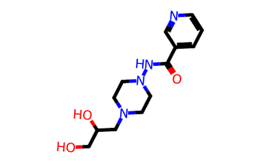 O=C(NN1CCN(CC(O)CO)CC1)c1cccnc1